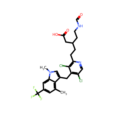 Cc1cc(C(F)(F)F)cc2c1c(Cc1c(Cl)cnc(CCC(CCNC=O)CC(=O)O)c1Cl)cn2C